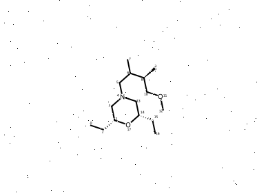 CC[C@@H]1CN(CC(C)[C@@H](C)COC)C[C@H](CC)O1